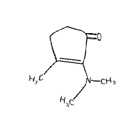 CC1=C(N(C)C)C(=O)CC1